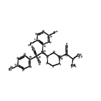 CC(C)C(=O)N1CCCC(N(c2cc(F)ccc2F)S(=O)(=O)c2ccc(Cl)cc2)C1